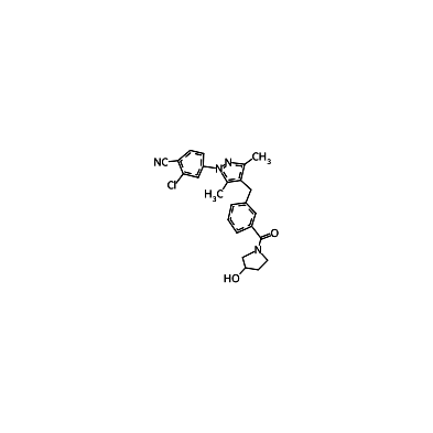 Cc1nn(-c2ccc(C#N)c(Cl)c2)c(C)c1Cc1cccc(C(=O)N2CCC(O)C2)c1